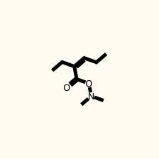 CCC=C(CC)C(=O)ON(C)C